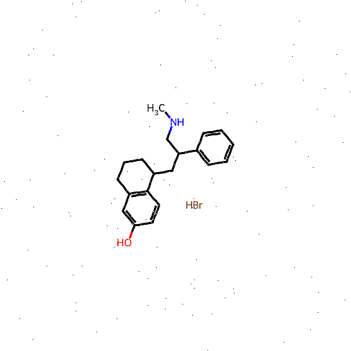 Br.CNCC(CC1CCCc2cc(O)ccc21)c1ccccc1